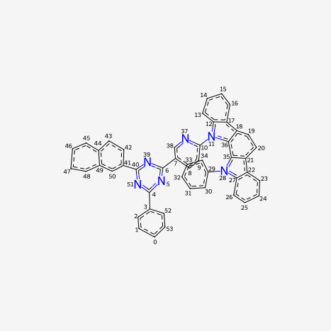 c1ccc(-c2nc(-c3ccc(-n4c5ccccc5c5ccc6c7ccccc7n(-c7ccccc7)c6c54)nc3)nc(-c3ccc4ccccc4c3)n2)cc1